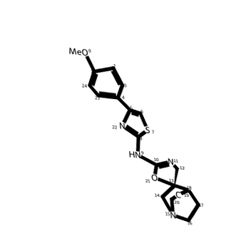 COc1ccc(-c2csc(NC3=NC[C@@]4(CN5CCC4CC5)O3)n2)cc1